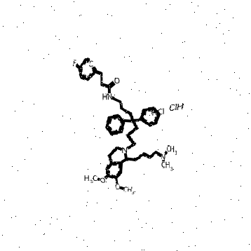 COc1cc2c(cc1OC)C(CCCCN(C)C)N(CCCC(CCCNC(=O)CCc1ccc(F)cc1)(c1ccccc1)c1ccccc1)CC2.Cl.Cl